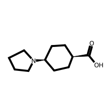 O=C(O)[C@H]1CC[C@@H](N2CCCC2)CC1